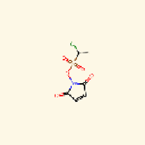 CC(Cl)S(=O)(=O)ON1C(=O)C=CC1=O